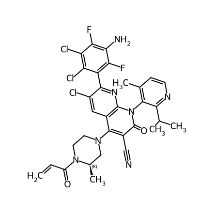 C=CC(=O)N1CCN(c2c(C#N)c(=O)n(-c3c(C)ccnc3C(C)C)c3nc(-c4c(F)c(N)c(F)c(Cl)c4Cl)c(Cl)cc23)C[C@H]1C